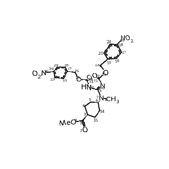 COC(=O)[C@H]1CC[C@H](N(C)/C(=N/C(=O)OCc2ccc([N+](=O)[O-])cc2)NC(=O)OCc2ccc([N+](=O)[O-])cc2)CC1